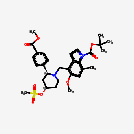 COC(=O)c1ccc([C@H]2C[C@@H](OS(C)(=O)=O)CCN2Cc2c(OC)cc(C)c3c2ccn3C(=O)OC(C)(C)C)cc1